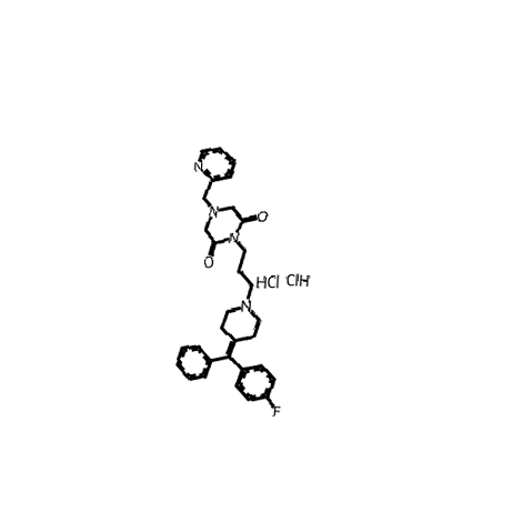 Cl.Cl.O=C1CN(Cc2ccccn2)CC(=O)N1CCCN1CCC(=C(c2ccccc2)c2ccc(F)cc2)CC1